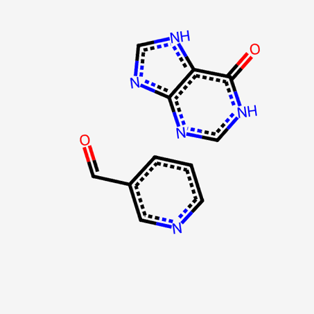 O=Cc1cccnc1.O=c1[nH]cnc2nc[nH]c12